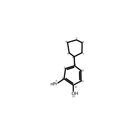 CCCc1cc(C2CCCCC2)ccc1O